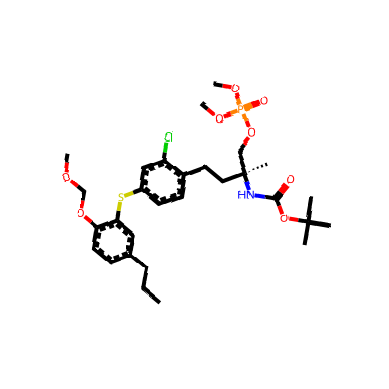 CCCc1ccc(OCOC)c(Sc2ccc(CC[C@@](C)(COP(=O)(OC)OC)NC(=O)OC(C)(C)C)c(Cl)c2)c1